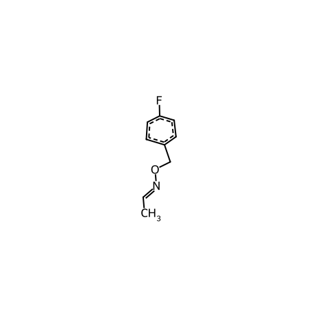 CC=NOCc1ccc(F)cc1